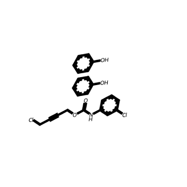 O=C(Nc1cccc(Cl)c1)OCC#CCCl.Oc1ccccc1.Oc1ccccc1